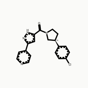 O=C(c1cc(-c2ccncc2)n[nH]1)N1CC[C@@H](c2ccc(Cl)cc2)C1